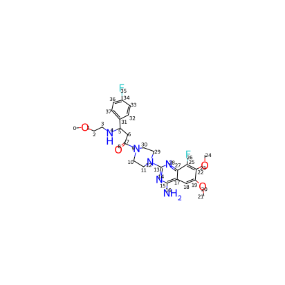 COCCNC(CC(=O)N1CCN(c2nc(N)c3cc(OC)c(OC)c(F)c3n2)CC1)c1ccc(F)cc1